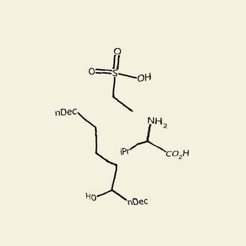 CC(C)C(N)C(=O)O.CCCCCCCCCCCCCC(O)CCCCCCCCCC.CCS(=O)(=O)O